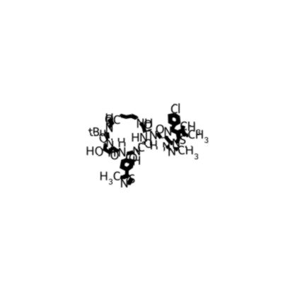 Cc1ncsc1-c1ccc([C@H]2NC(=O)[C@@H]3C[C@@H](O)CN3C(=O)[C@H](C(C)(C)C)NC(=O)CCCCCNC(=O)[C@@H](CNC(=O)C[C@@H]3N=C(c4ccc(Cl)cc4)c4c(sc(C)c4C)-n4c(C)nnc43)NC(=O)CNC2=O)cc1